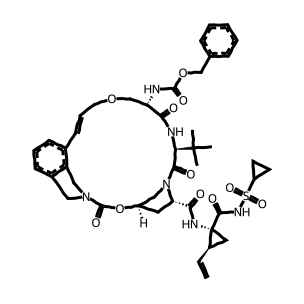 C=C[C@@H]1C[C@]1(NC(=O)[C@@H]1C[C@@H]2CN1C(=O)[C@H](C(C)(C)C)NC(=O)[C@@H](NC(=O)OCc1ccccc1)COC/C=C/c1cccc3c1CN(C3)C(=O)O2)C(=O)NS(=O)(=O)C1CC1